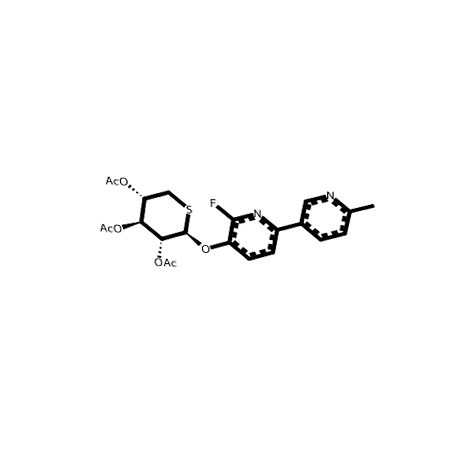 CC(=O)O[C@@H]1[C@@H](OC(C)=O)[C@H](OC(C)=O)CS[C@H]1Oc1ccc(-c2ccc(C)nc2)nc1F